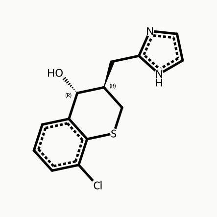 O[C@H]1c2cccc(Cl)c2SC[C@@H]1Cc1ncc[nH]1